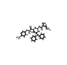 Cc1ccc(CNC(=O)[C@@H](CCCN/C(N)=N\[N+](=O)[O-])NC(=O)C(c2ccccc2)c2ccccc2)cc1